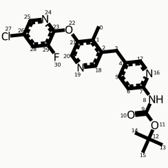 Cc1c(Cc2ccc(NC(=O)OC(C)(C)C)nc2)cncc1Oc1ncc(Cl)cc1F